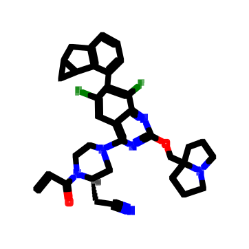 C=CC(=O)N1CCN(c2nc(OCC34CCCN3CCC4)nc3c(F)c(-c4cccc5c4C4CC4C5)c(F)cc23)C[C@@H]1CC#N